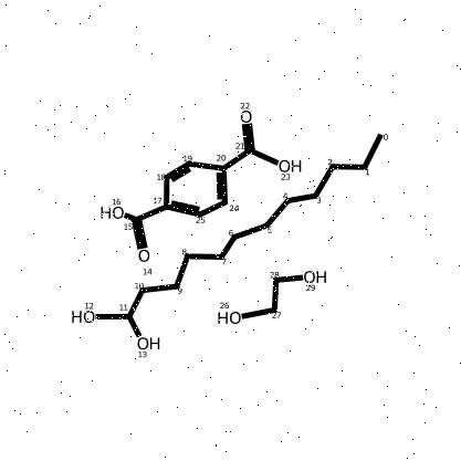 CCCCCCCCCCCC(O)O.O=C(O)c1ccc(C(=O)O)cc1.OCCO